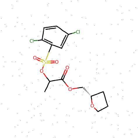 CC(OS(=O)(=O)c1cc(Cl)ccc1Cl)C(=O)OC[C@@H]1CCCO1